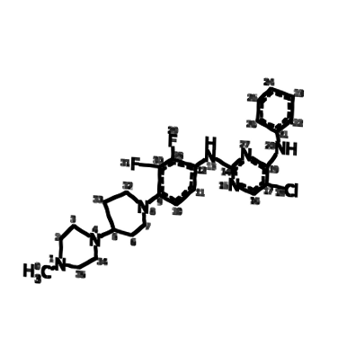 CN1CCN(C2CCN(c3ccc(Nc4ncc(Cl)c(Nc5[c]cccc5)n4)c(F)c3F)CC2)CC1